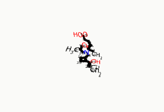 C=CC1=C(/C=C\CC(=O)O)OCC(C)CN1CC1CCC1C(O)C=C